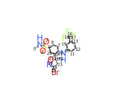 CNS(=O)(=O)c1ccc(Nc2cccc(C(F)(F)F)c2)c([C@]2(C)CC(Br)=NO2)c1